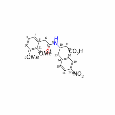 COc1cccc(CC(=O)NC(CC(=O)O)Cc2ccc([N+](=O)[O-])cc2)c1OC